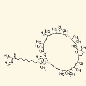 CN=C(N)NCCC/C=C/CCCC(C)CC(C)C1OC(=O)C(C)C(O)C=CC(C)C(O)CC(O)C(C)C(O)CCC(C)C(O)CC2(O)OC(CC(O)CC(O)CC(O)C(C)C(O)C=CC=CC1C)CC(O)C2O